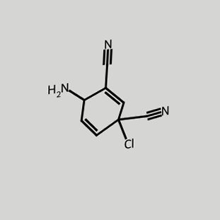 N#CC1=CC(Cl)(C#N)C=CC1N